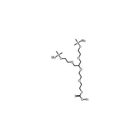 CCOC(=S)SCCOCCOC(COCCO[Si](C)(C)C(C)(C)C)COCCO[Si](C)(C)C(C)(C)C